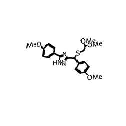 COc1ccc(-c2nc(C(SCC(OC)OC)c3ccc(OC)cc3)n[nH]2)cc1